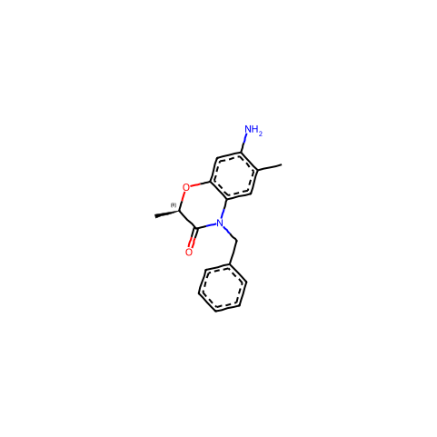 Cc1cc2c(cc1N)O[C@H](C)C(=O)N2Cc1ccccc1